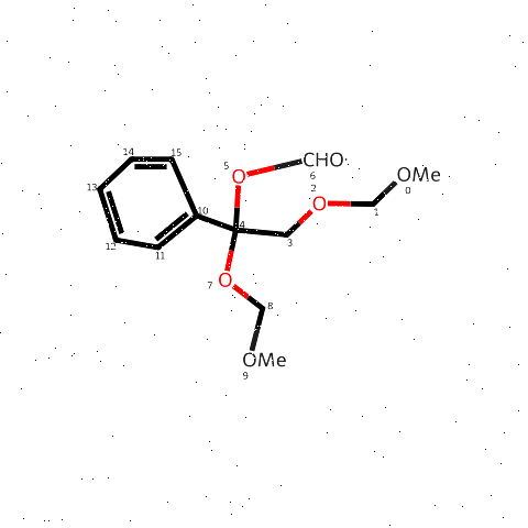 COCOCC(O[C]=O)(OCOC)c1ccccc1